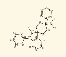 CN(C)C1(c2ccccc2)CCC(c2ccccc2)(N(C)Cc2cccnc2)CC1